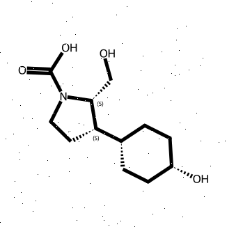 O=C(O)N1CC[C@@H]([C@H]2CC[C@@H](O)CC2)[C@H]1CO